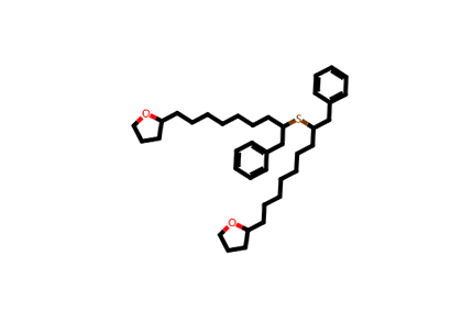 c1ccc(CC(CCCCCCCC2CCCO2)SC(CCCCCCCC2CCCO2)Cc2ccccc2)cc1